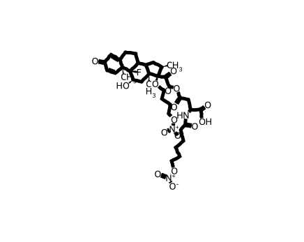 C[C@H]1CC2C3CCC4=CC(=O)C=C[C@]4(C)[C@@]3(F)[C@@H](O)C[C@]2(C)[C@@]1(OC(=O)CCCO[N+](=O)[O-])C(=O)COC(=O)CC(NC(=O)CCCCCO[N+](=O)[O-])C(=O)O